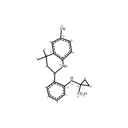 CC1(C)CC(c2ccccc2NC2(C(=O)O)CC2)Nc2ccc(C#N)cc21